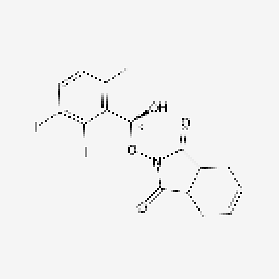 O=C1C2CC=CCC2C(=O)N1O[C@H](O)c1c(I)ccc(I)c1I